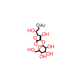 CC(=O)OC[C@H](O)[C@H]1OC(=O)C(O[C@H]2OC(CO)[C@@H](O)C(O)C2O)=C1O